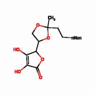 CCCCCCCCCCCC1(C)OCC(C2OC(=O)C(O)=C2O)O1